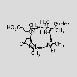 CCCCCCOC(C)c1c(C)c2cc3nc(c4c5[nH]c(cc6nc(cc1[nH]2)C(C)=C6CC)c(C)c5C(=O)C4)[C@@H](CCC(=O)O)C3C